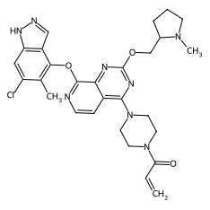 C=CC(=O)N1CCN(c2nc(OCC3CCCN3C)nc3c(Oc4c(C)c(Cl)cc5[nH]ncc45)nccc23)CC1